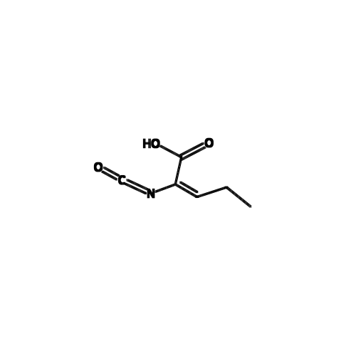 CC/C=C(/N=C=O)C(=O)O